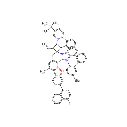 C=CC1C2C(c3ccccc3-c3ccc([Si](C)(C)C)c[n+]32)C12Cc1cc(C)c3c(oc4cc(-c5ccc(F)c6ccccc56)ccc43)c1-c1n(-c3ccc(C(C)(C)C)cc3-c3ccccc3)c3ccccc3[n+]12